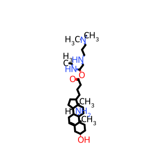 CCNC(CNCCCN(C)C)OC(=O)CCCC1CC[C@H]2C3CC=C4C[C@@H](O)CCC4(C)[C@@]3(N)CCC12C